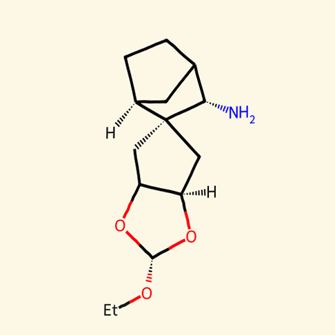 CCO[C@@H]1OC2C[C@]3(C[C@H]2O1)[C@H]1CCC(C1)[C@@H]3N